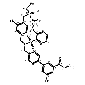 COC(=O)c1cc(Br)cc(-c2ccc(CN(Cc3ccc(CP(=O)(OF)OF)c(Cl)c3)S(=O)(=O)c3ccccc3OC)cc2)c1